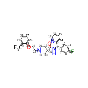 CC1(C(=O)N[C@@H](c2ccc(F)cc2)c2ccccn2)CCN(CCOc2ccccc2C(F)(F)F)CC1